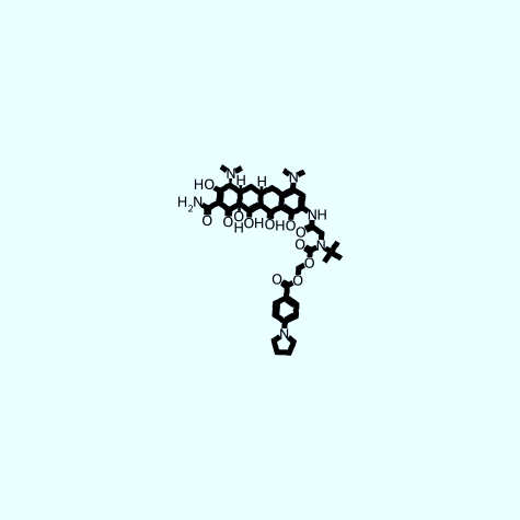 CN(C)c1cc(NC(=O)CN(C(=O)OCOC(=O)c2ccc(N3CCCC3)cc2)C(C)(C)C)c(O)c2c1C[C@H]1C[C@H]3[C@H](N(C)C)C(O)=C(C(N)=O)C(=O)[C@@]3(O)C(O)=C1C2=O